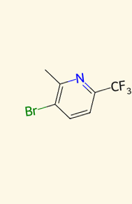 Cc1nc(C(F)(F)F)ccc1Br